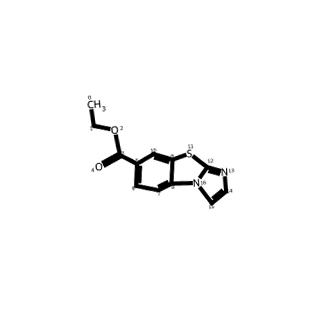 CCOC(=O)c1ccc2c(c1)sc1nccn12